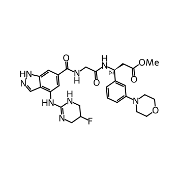 COC(=O)C[C@H](NC(=O)CNC(=O)c1cc(NC2=NCC(F)CN2)c2cn[nH]c2c1)c1cccc(N2CCOCC2)c1